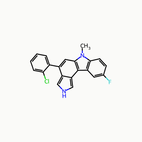 Cn1c2ccc(F)cc2c2c3c[nH]cc3c(-c3ccccc3Cl)cc21